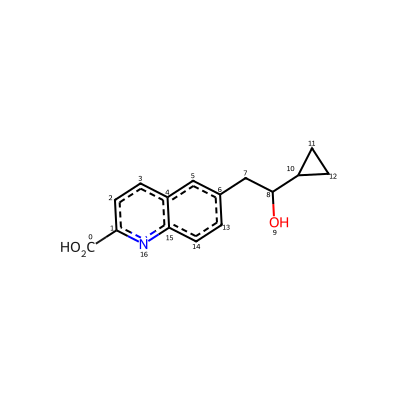 O=C(O)c1ccc2cc(CC(O)C3CC3)ccc2n1